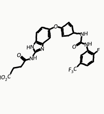 O=C(O)CCC(=O)Nc1nc2cc(OC3=CCC(NC(=O)Nc4cc(C(F)(F)F)ccc4F)C=C3)ccc2[nH]1